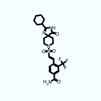 NC(=O)c1ccc(C=CS(=O)(=O)N2CCC3(CC2)N=C(C2CCCCC2)NC3=O)c(C(F)(F)F)c1